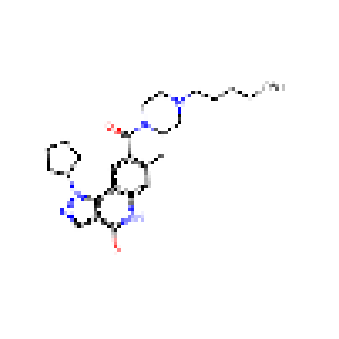 COCCCCN1CCN(C(=O)c2cc3c(cc2C)[nH]c(=O)c2cnn(C4CCCC4)c23)CC1